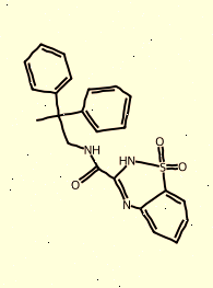 CC(CNC(=O)C1=Nc2ccccc2S(=O)(=O)N1)(c1ccccc1)c1ccccc1